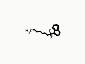 [CH2]CCCCCCC(F)(F)c1cccc2ccccc12